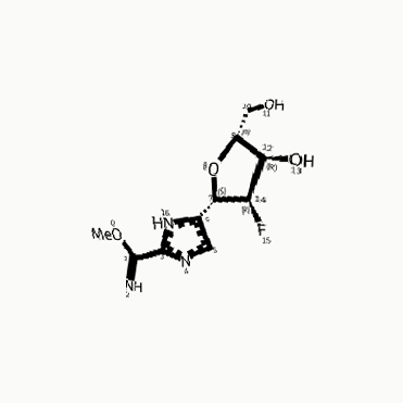 COC(=N)c1ncc([C@@H]2O[C@H](CO)[C@@H](O)[C@H]2F)[nH]1